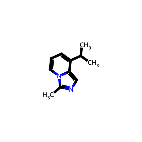 Cc1ncc2c(C(C)C)cccn12